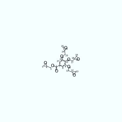 O=C(OCC1CO1)c1cc(OCC2CO2)c(OCC2CO2)c(OCC2CO2)c1